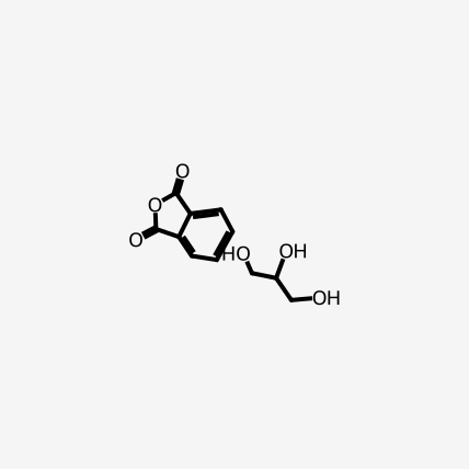 O=C1OC(=O)c2ccccc21.OCC(O)CO